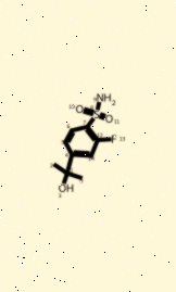 CC(C)(O)c1ccc(S(N)(=O)=O)c(F)c1